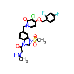 CNCC(=O)N1CN(S(C)(=O)=O)c2cc(Cn3ccc(OCc4ccc(F)cc4F)c(Cl)c3=O)ccc21